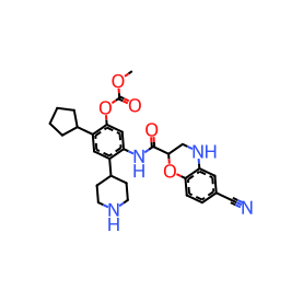 COC(=O)Oc1cc(NC(=O)C2CNc3cc(C#N)ccc3O2)c(C2CCNCC2)cc1C1CCCC1